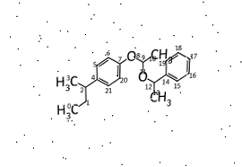 CCC(C)c1ccc(OC(C)OC(C)c2ccccc2)cc1